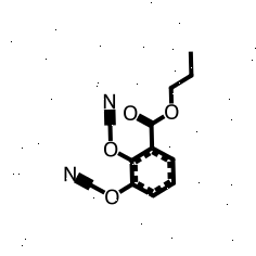 CCCOC(=O)c1cccc(OC#N)c1OC#N